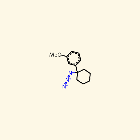 COc1cccc(C2(N=[N+]=[N-])CCCCC2)c1